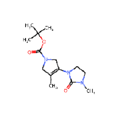 CC1=C(N2CCN(C)C2=O)CN(C(=O)OC(C)(C)C)C1